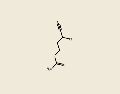 N#CC(Cl)CCSC(N)=O